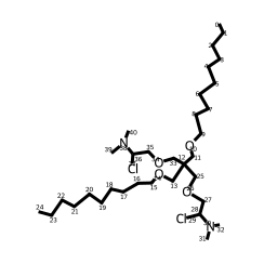 CCCCCCCCCCOCC(COCCCCCCCCCC)(COCC(Cl)N(C)C)COCC(Cl)N(C)C